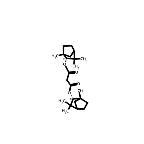 CC12CCC(C1)C(C)(C)[C@@H]2OC(=O)CC(=O)O[C@@H]1C2(C)CCC(C2)C1(C)C